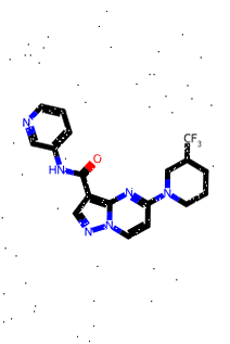 O=C(Nc1cccnc1)c1cnn2ccc(N3CCCC(C(F)(F)F)C3)nc12